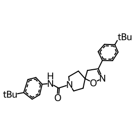 CC(C)(C)c1ccc(NC(=O)N2CCC3(CC2)CC(c2ccc(C(C)(C)C)cc2)=NO3)cc1